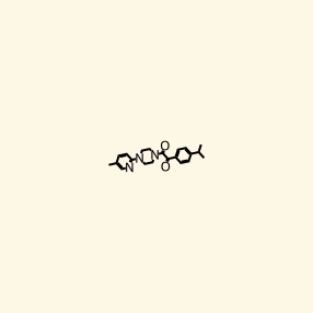 Cc1ccc(N2CCN(C(=O)C(=O)c3ccc(C(C)C)cc3)CC2)nc1